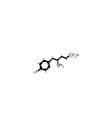 N[C@H](CCC(=O)O)Cc1ccc(F)cc1